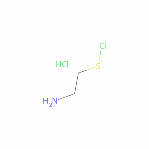 Cl.NCCSCl